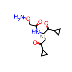 NOCC(=O)N[C@@H](CC(=O)C1CC1)C(=O)C1CC1